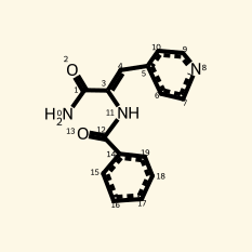 NC(=O)/C(=C/c1ccncc1)NC(=O)c1ccccc1